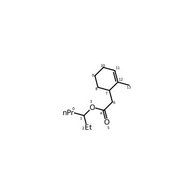 CCCC(CC)OC(=O)CC1CCCC=C1C